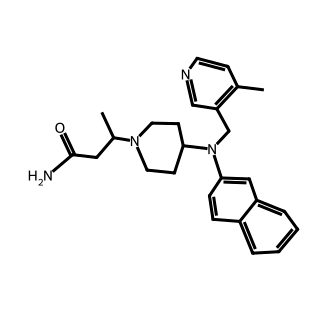 Cc1ccncc1CN(c1ccc2ccccc2c1)C1CCN(C(C)CC(N)=O)CC1